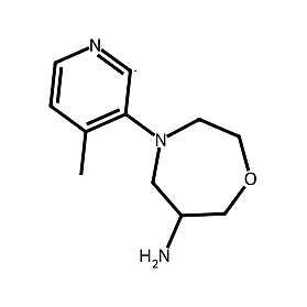 Cc1ccn[c]c1N1CCOCC(N)C1